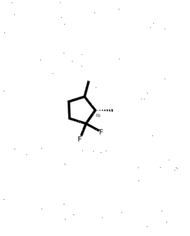 CC1CCC(F)(F)[C@H]1C